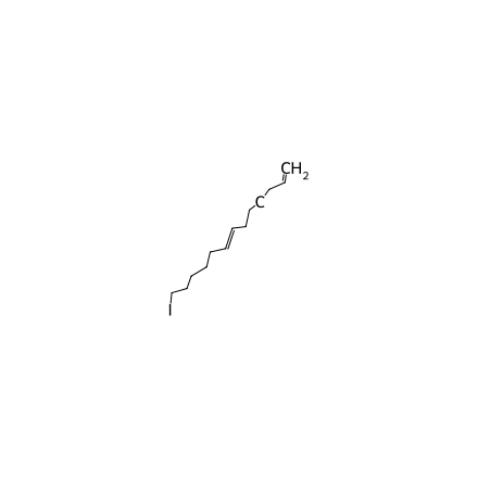 C=CCCCCC=CCCCCCI